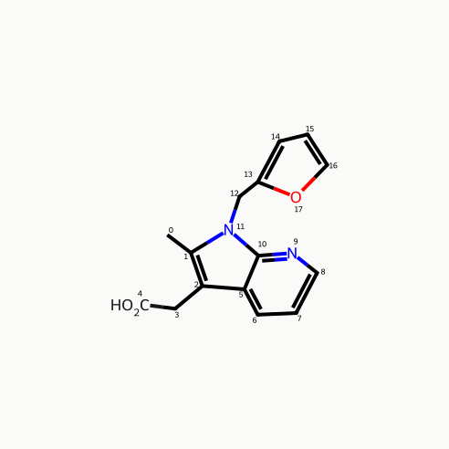 Cc1c(CC(=O)O)c2cccnc2n1Cc1ccco1